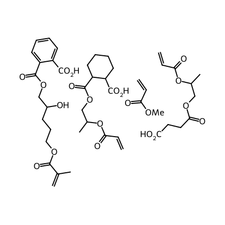 C=C(C)C(=O)OCCCC(O)COC(=O)c1ccccc1C(=O)O.C=CC(=O)OC.C=CC(=O)OC(C)COC(=O)C1CCCCC1C(=O)O.C=CC(=O)OC(C)COC(=O)CCC(=O)O